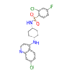 O=S(=O)(N[C@H]1CC[C@@H](Nc2ccnc3cc(Cl)ccc23)CC1)c1ccc(F)cc1Cl